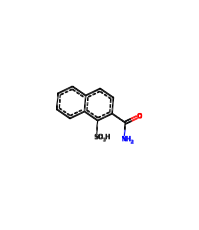 NC(=O)c1ccc2ccccc2c1S(=O)(=O)O